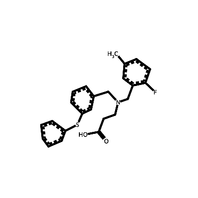 Cc1ccc(F)c(CN(CCC(=O)O)Cc2cccc(Sc3ccccc3)c2)c1